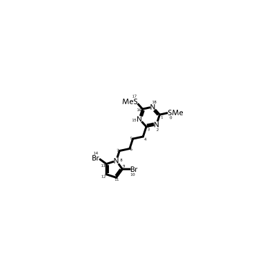 CSc1nc(CCCCn2c(Br)ccc2Br)nc(SC)n1